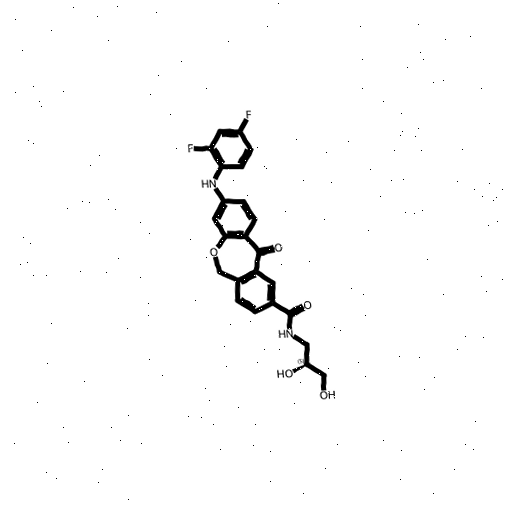 O=C(NC[C@H](O)CO)c1ccc2c(c1)C(=O)c1ccc(Nc3ccc(F)cc3F)cc1OC2